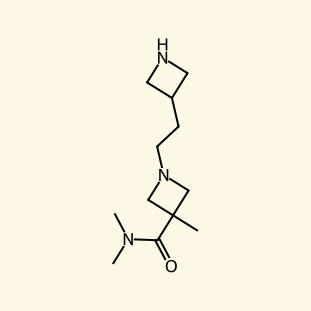 CN(C)C(=O)C1(C)CN(CCC2CNC2)C1